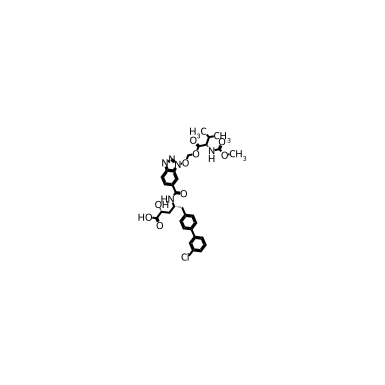 COC(=O)N[C@H](C(=O)OCOn1nnc2ccc(C(=O)N[C@H](Cc3ccc(-c4cccc(Cl)c4)cc3)C[C@@H](O)C(=O)O)cc21)C(C)C